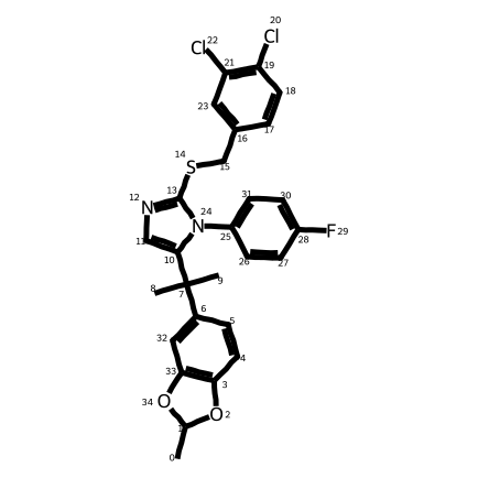 CC1Oc2ccc(C(C)(C)c3cnc(SCc4ccc(Cl)c(Cl)c4)n3-c3ccc(F)cc3)cc2O1